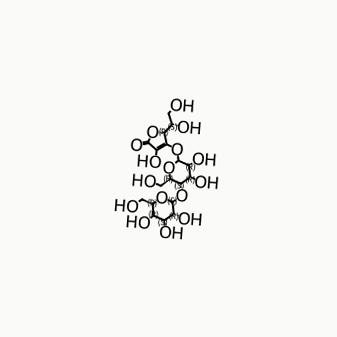 O=C1O[C@H]([C@@H](O)CO)C(OC2O[C@H](CO)[C@@H](O[C@@H]3O[C@H](CO)[C@H](O)[C@H](O)[C@H]3O)[C@H](O)[C@H]2O)=C1O